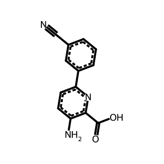 N#Cc1cccc(-c2ccc(N)c(C(=O)O)n2)c1